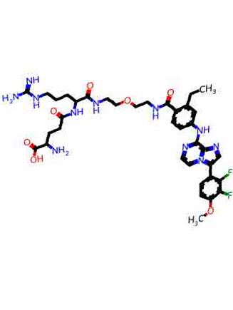 CCc1cc(Nc2nccn3c(-c4ccc(OC)c(F)c4F)cnc23)ccc1C(=O)NCCOCCNC(=O)C(CCCNC(=N)N)NC(=O)CCC(N)C(=O)O